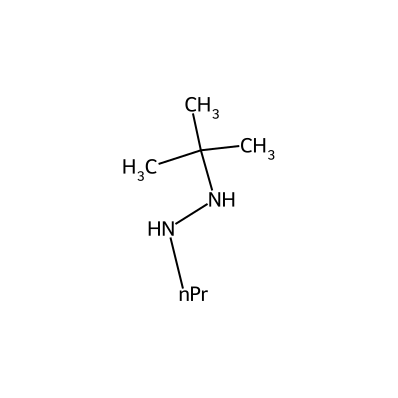 CCCNNC(C)(C)C